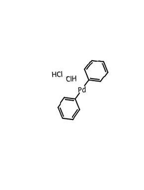 Cl.Cl.c1cc[c]([Pd][c]2ccccc2)cc1